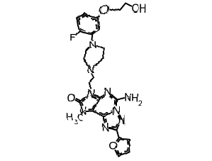 Cn1c(=O)n(CCN2CCN(c3cc(OCCO)ccc3F)CC2)c2nc(N)n3nc(-c4ccco4)nc3c21